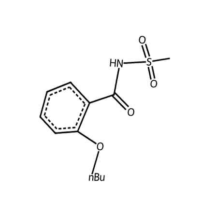 CCCCOc1ccccc1C(=O)NS(C)(=O)=O